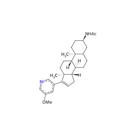 COc1cncc(C2=CC[C@H]3[C@@H]4CCC5C[C@H](NC(C)=O)CC[C@]5(C)[C@H]4CC[C@]23C)c1